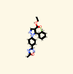 CCOC(=O)c1cnn(-c2ccc(-c3noc(C)n3)cc2)c1-c1ccccc1F